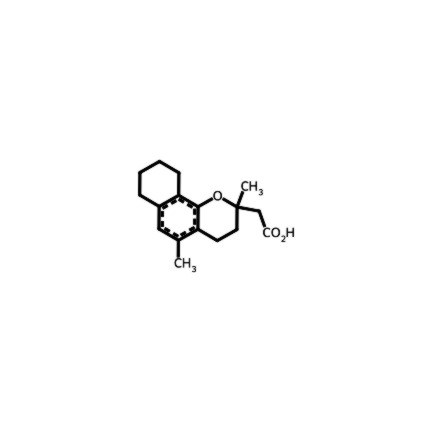 Cc1cc2c(c3c1CCC(C)(CC(=O)O)O3)CCCC2